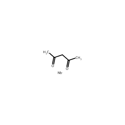 CC(=O)CC(C)=O.[Nb]